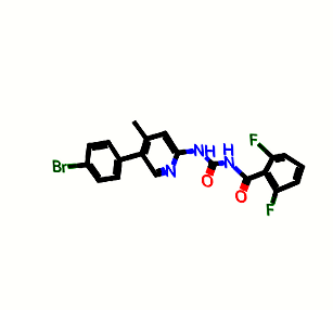 Cc1cc(NC(=O)NC(=O)c2c(F)cccc2F)ncc1-c1ccc(Br)cc1